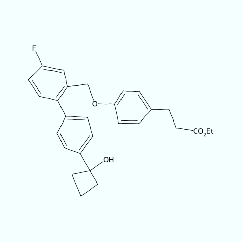 CCOC(=O)CCc1ccc(OCc2cc(F)ccc2-c2ccc(C3(O)CCC3)cc2)cc1